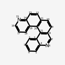 c1ccc2c(c1)ncc1ccc3ccc4ncccc4c3c12